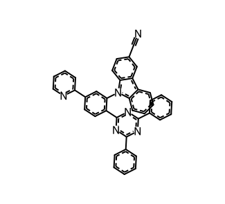 N#Cc1ccc2c(c1)c1ccccc1n2-c1cc(-c2ccccn2)ccc1-c1nc(-c2ccccc2)nc(-c2ccccc2)n1